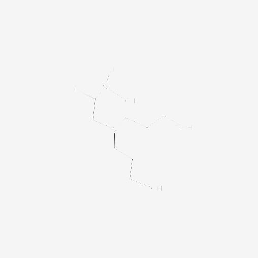 CC(CN(CCCO)CCCO)N(C)C